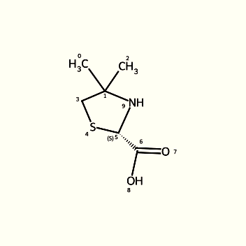 CC1(C)CS[C@@H](C(=O)O)N1